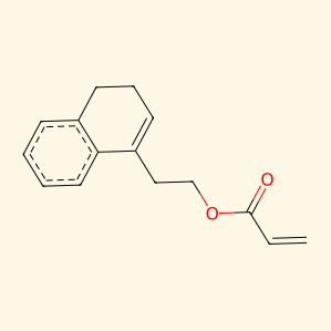 C=CC(=O)OCCC1=CCCc2ccccc21